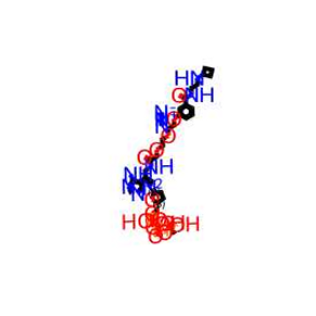 CP(=O)(O)OP(=O)(O)OP(=O)(O)OC[C@@H]1CC[C@H](n2cc(CNC(=O)COCCOC(COc3cccc(C(=O)NCCNC4CCC4)c3)N=[N+]=[N-])c3c(N)ncnc32)O1